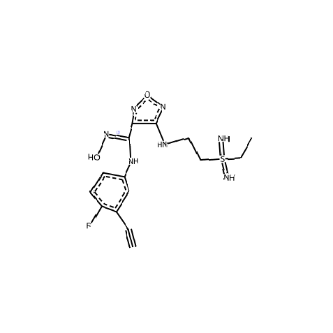 C#Cc1cc(N/C(=N\O)c2nonc2NCCS(=N)(=N)CC)ccc1F